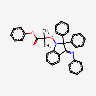 CC(C)(ON1c2ccccc2/C(=N\c2ccccc2)C1(c1ccccc1)c1ccccc1)C(=O)Oc1ccccc1